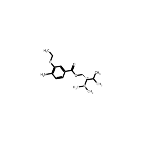 CCOc1cc(C(=O)OC[C@H](C(C)C)N(C)C)ccc1N